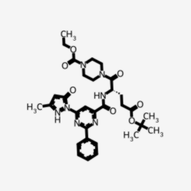 CCOC(=O)N1CCN(C(=O)[C@H](CCC(=O)OC(C)(C)C)NC(=O)c2cc(-n3[nH]c(C)cc3=O)nc(-c3ccccc3)n2)CC1